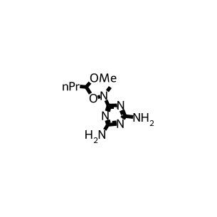 CCCC(OC)ON(C)c1nc(N)nc(N)n1